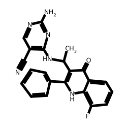 CC(Nc1nc(N)ncc1C#N)c1c(-c2ccccc2)[nH]c2c(F)cccc2c1=O